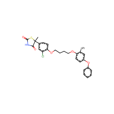 CCCc1cc(Oc2ccccc2)ccc1OCCCCOc1ccc(C2(C)SC(=O)NC2=O)cc1Cl